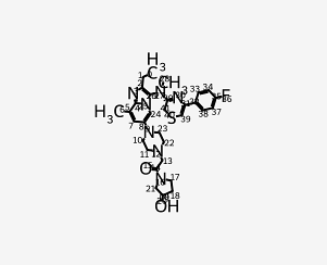 CCc1nc2c(C)cc(N3CCN(CC(=O)N4CC[C@@H](O)C4)CC3)cn2c1N(C)C1=NC(c2ccc(F)cc2)=CSC1